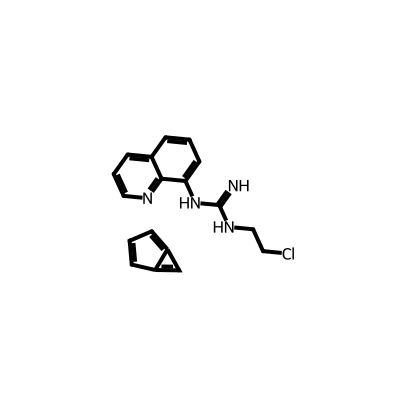 N=C(NCCCl)Nc1cccc2cccnc12.c1cc2cc-2c1